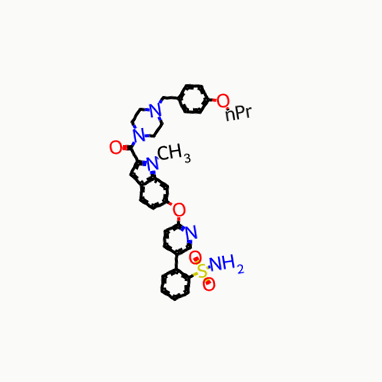 CCCOc1ccc(CN2CCN(C(=O)c3cc4ccc(Oc5ccc(-c6ccccc6S(N)(=O)=O)cn5)cc4n3C)CC2)cc1